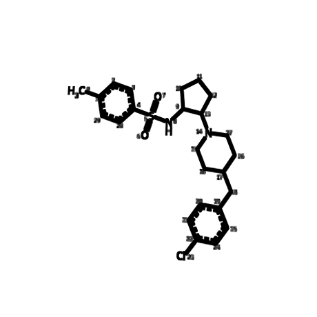 Cc1ccc(S(=O)(=O)NC2CCCC2N2CCC(Cc3ccc(Cl)cc3)CC2)cc1